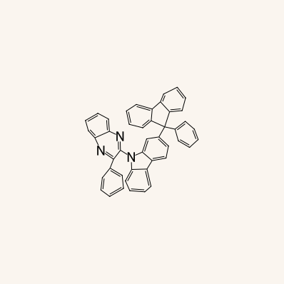 c1ccc(-c2nc3ccccc3nc2-n2c3ccccc3c3ccc(C4(c5ccccc5)c5ccccc5-c5ccccc54)cc32)cc1